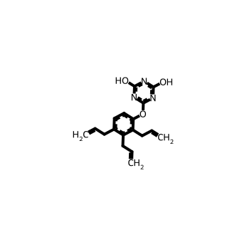 C=CCc1ccc(Oc2nc(O)nc(O)n2)c(CC=C)c1CC=C